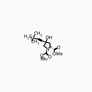 COC(=O)[C@H]1CC(O)(C#C[Si](C)(C)C)CN1C(=O)OC(C)(C)C